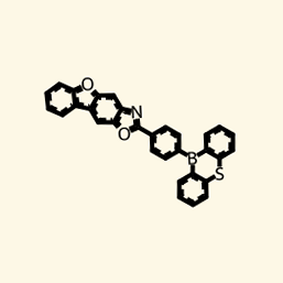 c1ccc2c(c1)Sc1ccccc1B2c1ccc(-c2nc3cc4oc5ccccc5c4cc3o2)cc1